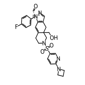 O=C[N@+]1(c2ccc(F)cc2)N=CC2=C1C=C1CCN(S(=O)(=O)c3ccc(N4CCC4)nc3)CC1(CO)C2